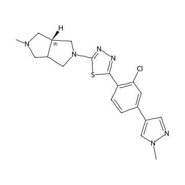 CN1CC2CN(c3nnc(-c4ccc(-c5cnn(C)c5)cc4Cl)s3)C[C@H]2C1